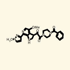 COc1cnc(-c2ccn(C)n2)c2c1C(C(=O)C(=O)N1CCN(C(=O)c3ccccc3)CC1)CN2